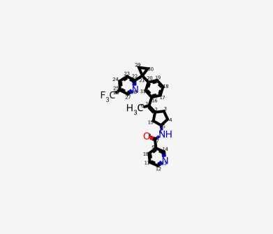 C/C(=C1/CCC(NC(=O)c2cccnc2)C1)c1cccc(C2(c3ccc(C(F)(F)F)cn3)CC2)c1